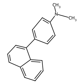 CN(C)c1ccc(-c2cccc3ccccc23)cc1